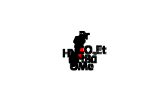 CCOC(=O)C(Cc1ccc(Br)cc1)c1[nH]c2ccc(OC)cc2c1SC(C)(C)C